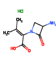 CC(C)=C(C(=O)O)N1CC(N)C1=O.Cl